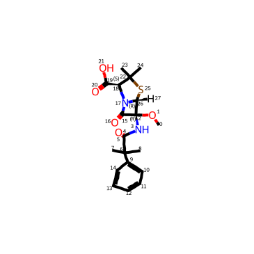 CO[C@]1(NC(=O)C(C)(C)c2ccccc2)C(=O)N2[C@@H](C(=O)O)C(C)(C)S[C@@H]21